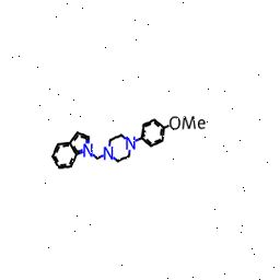 COc1ccc(N2CCN(Cn3ccc4ccccc43)CC2)cc1